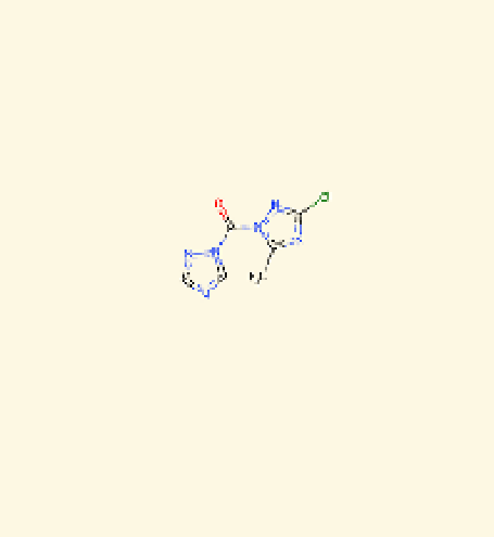 O=C(n1cncn1)n1nc(Cl)nc1C(F)(F)F